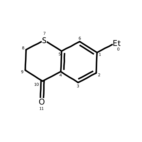 CCc1ccc2c(c1)SCCC2=O